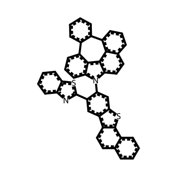 c1ccc2c(c1)-c1cccc3ccc4c(c13)c1c-2cccc1n4-c1cc2sc3c4ccccc4ccc3c2cc1-c1nc2ccccc2s1